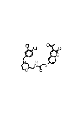 CC(=O)c1cc2cc(SCC(=O)NCC3CN(Cc4ccc(Cl)c(Cl)c4)CCO3)ccc2oc1=O